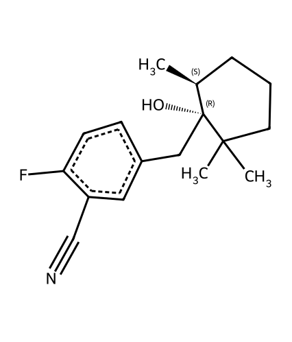 C[C@H]1CCCC(C)(C)[C@@]1(O)Cc1ccc(F)c(C#N)c1